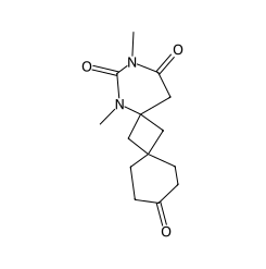 CN1C(=O)CC2(CC3(CCC(=O)CC3)C2)N(C)C1=O